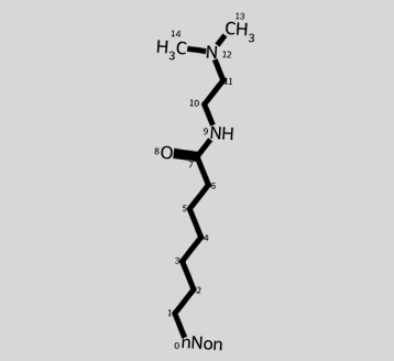 CCCCCCCCCCCCCCCC(=O)NCCN(C)C